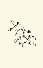 CC(C)(C)c1c(Br)cc(C(F)(F)F)cc1Br